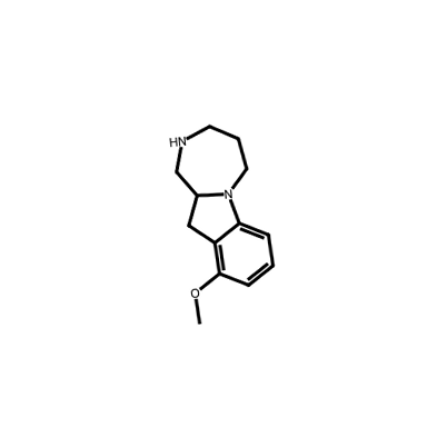 COc1cccc2c1CC1CNCCCN21